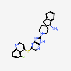 N[C@@H]1c2ccccc2CC12CCN(c1nc3nc(Sc4ccnc5cccc(F)c45)cnc3[nH]1)CC2